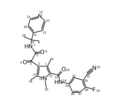 Cc1c(C(=O)C(=O)NC(C)(C)c2ccncc2)c(C)n(C)c1C(=O)Nc1ccc(F)c(C#N)c1